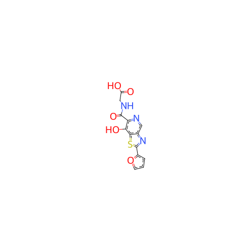 O=C(O)CNC(=O)c1ncc2nc(-c3ccco3)sc2c1O